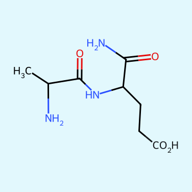 CC(N)C(=O)NC(CCC(=O)O)C(N)=O